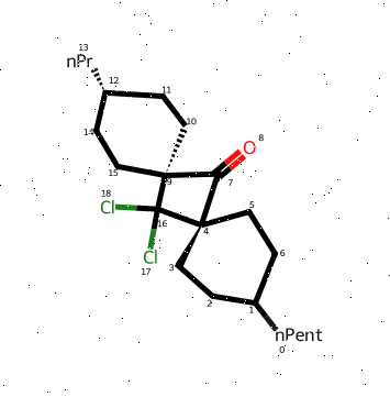 CCCCCC1CC[C@]2(CC1)C(=O)[C@@]1(CC[C@@H](CCC)CC1)C2(Cl)Cl